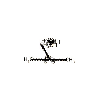 CCCCCCCCCCCC(=O)OCC(COC(=O)CCCCCCCCCCC)OC(=O)CCCCCCCCCCC.O=C(O)CC(O)(CC(=O)O)C(=O)O